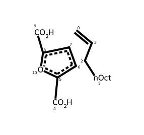 C=CCCCCCCCCC.O=C(O)c1ccc(C(=O)O)o1